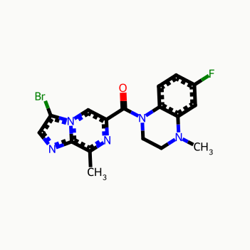 Cc1nc(C(=O)N2CCN(C)c3cc(F)ccc32)cn2c(Br)cnc12